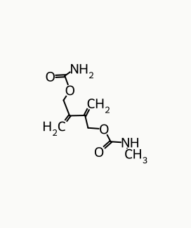 C=C(COC(N)=O)C(=C)COC(=O)NC